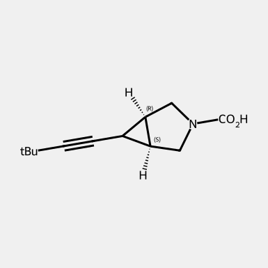 CC(C)(C)C#CC1[C@H]2CN(C(=O)O)C[C@@H]12